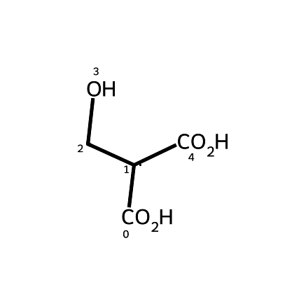 O=C(O)[C](CO)C(=O)O